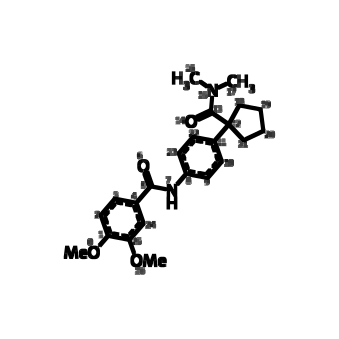 COc1ccc(C(=O)Nc2ccc(C3(C(=O)N(C)C)CCCC3)cc2)cc1OC